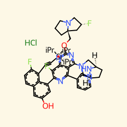 CC(C)[Si](C#Cc1c(F)ccc2cc(O)cc(-c3nc(-c4cccnc4)c4c(N5C[C@H]6CC[C@@H](C5)N6)nc(OC[C@@]56CCCN5C[C@H](F)C6)nc4c3F)c12)(C(C)C)C(C)C.Cl